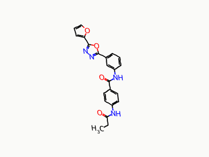 CCC(=O)Nc1ccc(C(=O)Nc2cccc(-c3nnc(-c4ccco4)o3)c2)cc1